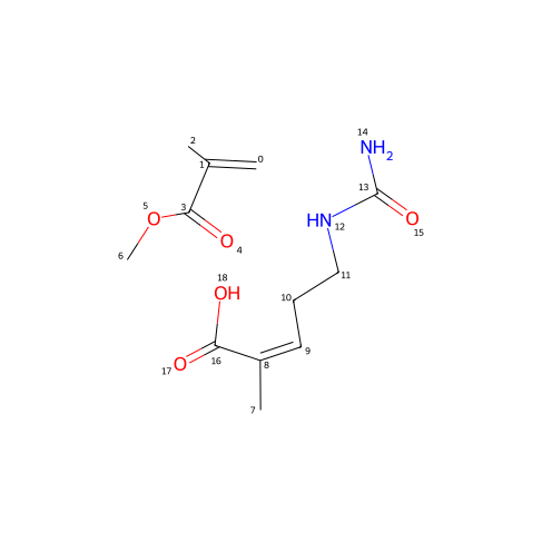 C=C(C)C(=O)OC.CC(=CCCNC(N)=O)C(=O)O